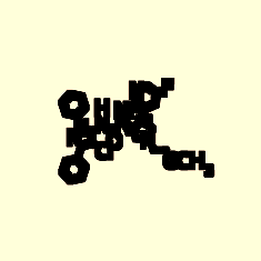 COCCN1C[C@@H](N(N)C(=O)Nc2c(Cl)c(-c3ccccc3)nn2-c2ccccc2)[C@H](c2cncc(F)c2)C1